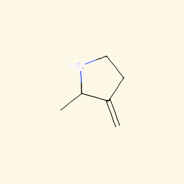 C=C1CCNC1C